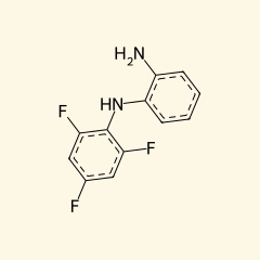 Nc1ccccc1Nc1c(F)cc(F)cc1F